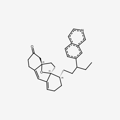 CCC(CC[C@@H]1CCC=C2C=C3CCC(=O)C[C@]34CC[C@@]21O4)c1ccc2ccncc2c1